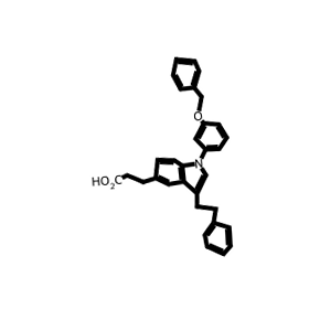 O=C(O)CCc1ccc2c(c1)c(CCc1ccccc1)cn2-c1cccc(OCc2ccccc2)c1